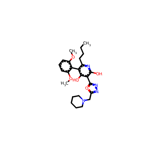 CCCCc1nc(O)c(-c2nnc(CN3CCCCC3)o2)c(O)c1-c1c(OC)cccc1OC